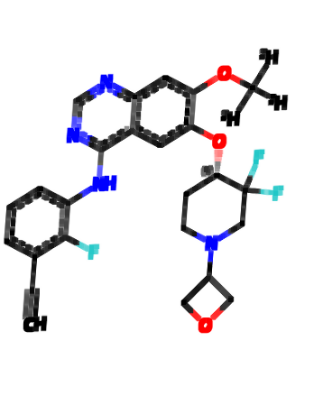 [2H]C([2H])([2H])Oc1cc2ncnc(Nc3cccc(C#C)c3F)c2cc1O[C@H]1CCN(C2COC2)CC1(F)F